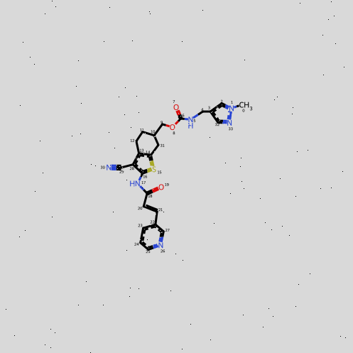 Cn1cc(CNC(=O)OCC2CCc3c(sc(NC(=O)C=Cc4cccnc4)c3C#N)C2)cn1